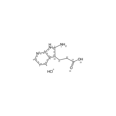 Cl.Nc1[nH]c2ncccc2c1CCC(=O)O